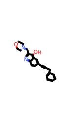 Oc1c(CN2CCOCC2)cnc2ccc(C#CCc3ccccc3)cc12